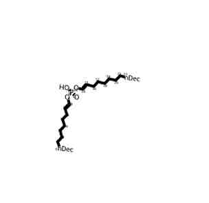 CCCCCCCCCCCCCCCC/C=C/OP(=O)(O)O/C=C/CCCCCCCCCCCCCCCC